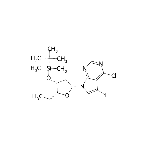 CC[C@H]1O[C@@H](n2cc(I)c3c(Cl)ncnc32)C[C@H]1O[Si](C)(C)C(C)(C)C